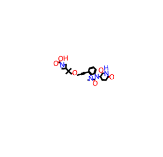 Cn1c(=O)n(C2CCC(=O)NC2=O)c2cccc(C#CCOCC(C)(C)C3CN(C(=O)O)C3)c21